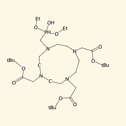 CCO[PH](O)(CN1CCN(CC(=O)OC(C)(C)C)CCN(CC(=O)OC(C)(C)C)CCN(CC(=O)OC(C)(C)C)CC1)OCC